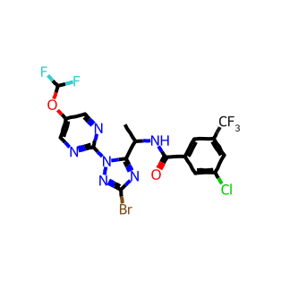 CC(NC(=O)c1cc(Cl)cc(C(F)(F)F)c1)c1nc(Br)nn1-c1ncc(OC(F)F)cn1